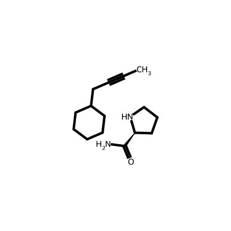 CC#CCC1CCCCC1.NC(=O)[C@@H]1CCCN1